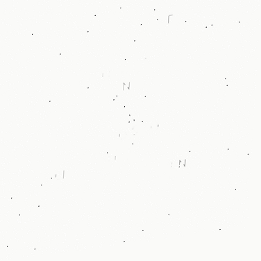 Cc1cc(Cl)cc(Oc2ccc(C#N)cc2S(=O)(=O)N2CCN(C(=O)c3ccc(F)cc3)CC2)c1